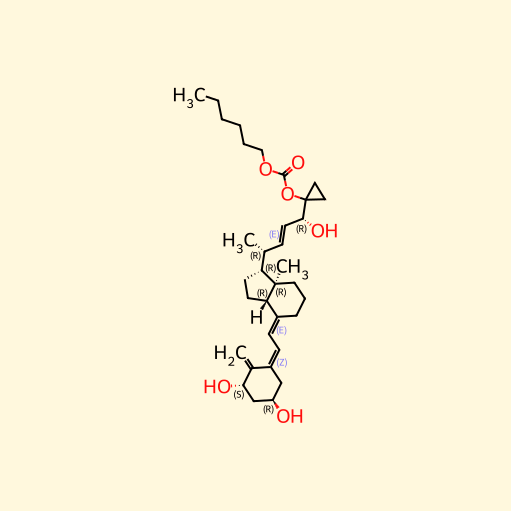 C=C1/C(=C\C=C2/CCC[C@]3(C)[C@@H]([C@H](C)/C=C/[C@@H](O)C4(OC(=O)OCCCCCC)CC4)CC[C@@H]23)C[C@@H](O)C[C@@H]1O